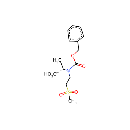 C[C@@H](C(=O)O)N(CCS(C)(=O)=O)C(=O)OCc1ccccc1